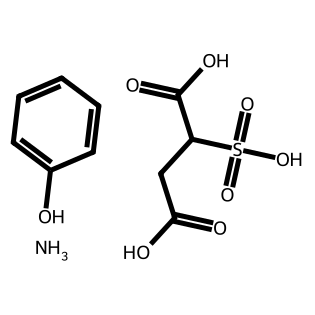 N.O=C(O)CC(C(=O)O)S(=O)(=O)O.Oc1ccccc1